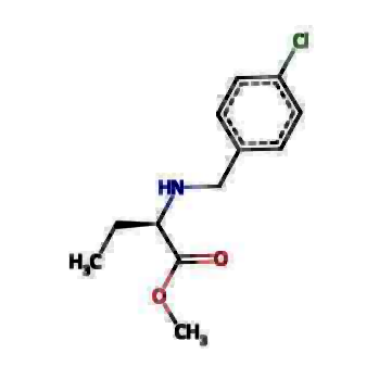 CC[C@@H](NCc1ccc(Cl)cc1)C(=O)OC